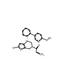 C=CC(=O)N1Cc2sc(Cl)cc2[C@H](c2ccccc2-c2ccc(OCC)nc2)C1